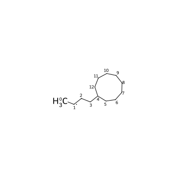 C[CH]CCC1CCCCCCCC1